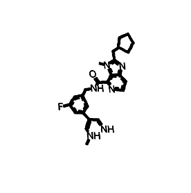 CN/C=C(\C=N)c1cc(F)cc(CNC(=O)c2nccc3nc(CC4CCCC4)n(C)c23)c1